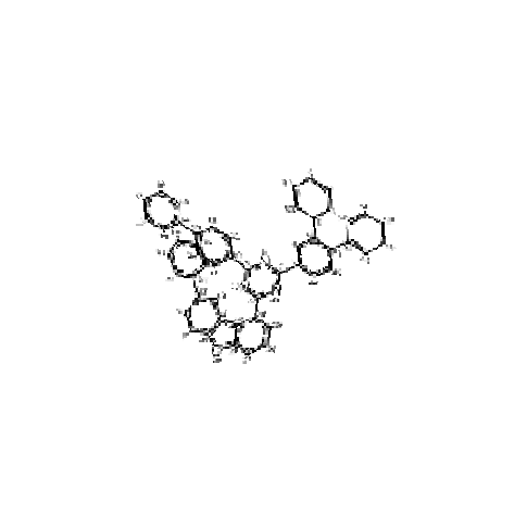 C1=CCC(c2cc(-c3nc(-c4ccc(-c5ccccc5)cc4)nc(-c4cccc5oc6ccc(-c7ccccc7)cc6c45)n3)ccc2C2=CCCC=C2)C=C1